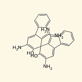 NC1=C(O)C2(C(O)=C(N)C=C3C2=C(N)c2ccccc23)C2=C(N)c3ccccc3C2=C1